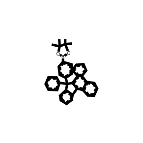 CC1(C)OB(c2ccc(C3(c4ccccc4)c4ccccc4-c4c3c3ccccc3c3ccccc43)cc2)OC1(C)C